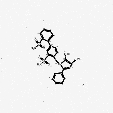 COc1nc(-c2ccccc2)n(Cc2ccc(-c3ccccc3S(N)(=O)=O)cc2S(C)(=O)=O)c1C=O